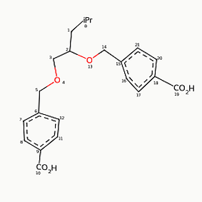 CC(C)CC(COCc1ccc(C(=O)O)cc1)OCc1ccc(C(=O)O)cc1